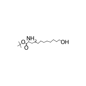 CC(C)(C)OC(=O)C(N)CCCCCCCCCCO